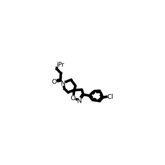 CC(C)CCC(=O)N1CCC2(CC1)CC(c1ccc(Cl)cc1)=NO2